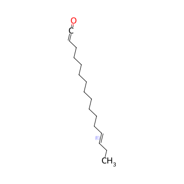 CC/C=C/CCCCCCCCCCC=C=O